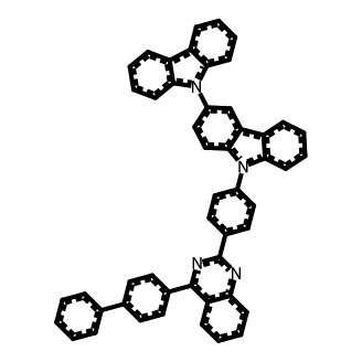 c1ccc(-c2ccc(-c3nc(-c4ccc(-n5c6ccccc6c6cc(-n7c8ccccc8c8ccccc87)ccc65)cc4)nc4ccccc34)cc2)cc1